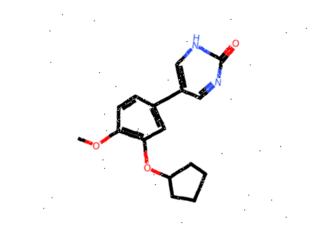 COc1ccc(-c2cnc(=O)[nH]c2)cc1OC1CCCC1